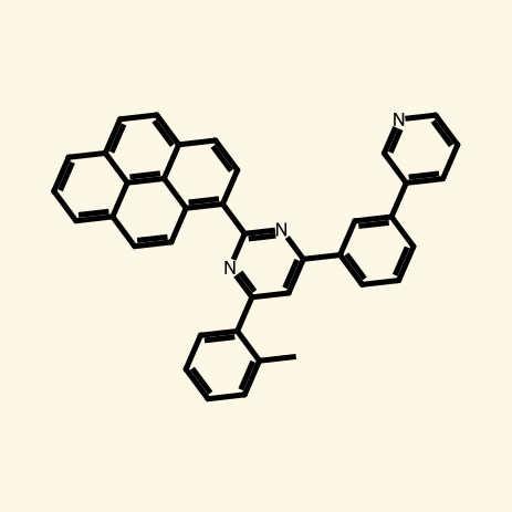 Cc1ccccc1-c1cc(-c2cccc(-c3cccnc3)c2)nc(-c2ccc3ccc4cccc5ccc2c3c45)n1